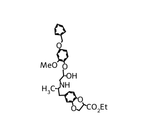 CCOC(=O)C1COc2cc(C[C@@H](C)NC[C@H](O)COc3ccc(OCc4ccccc4)cc3OC)ccc2O1